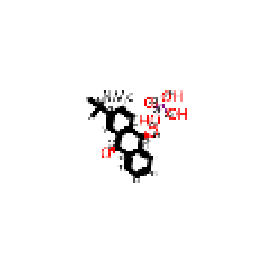 CNC(C)(C)c1ccc2c(c1)C(=O)c1ccccc1C2=O.O=P(O)(O)O